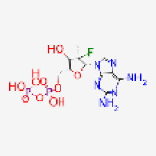 C[C@@]1(F)C(O)[C@@H](COP(=O)(O)OP(=O)(O)O)O[C@H]1n1cnc2c(N)nc(N)nc21